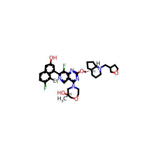 CCc1c(F)ccc2cc(O)cc(-c3ncc4c(N5CCOC[C@@](C)(O)C5)nc(OC[C@]56CCC[C@H]5N(CC5CCOC5)CCC6)nc4c3F)c12